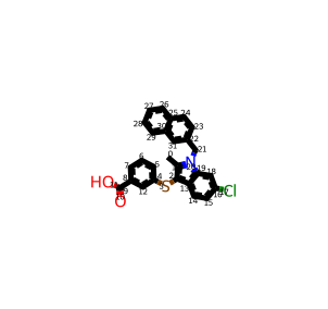 Cc1c(Sc2cccc(C(=O)O)c2)c2ccc(Cl)cc2n1Cc1ccc2ccccc2c1